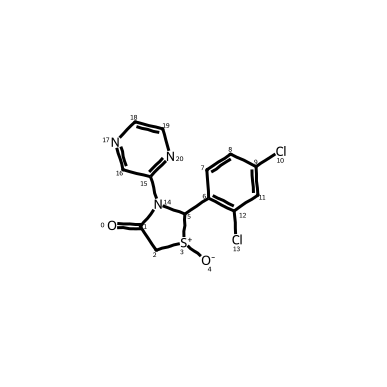 O=C1C[S+]([O-])C(c2ccc(Cl)cc2Cl)N1c1cnccn1